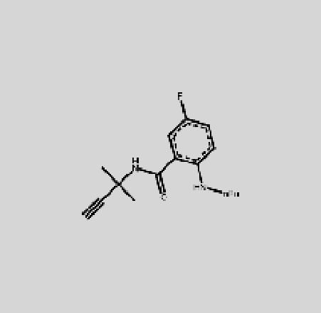 C#CC(C)(C)NC(=O)c1cc(F)ccc1NCCCC